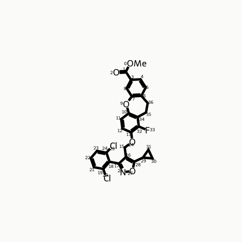 COC(=O)c1ccc2c(c1)Oc1ccc(OCc3c(-c4c(Cl)cccc4Cl)noc3C3CC3)c(F)c1CC2